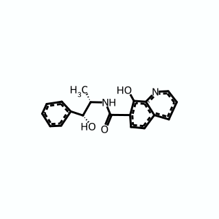 C[C@H](NC(=O)c1ccc2cccnc2c1O)[C@H](O)c1ccccc1